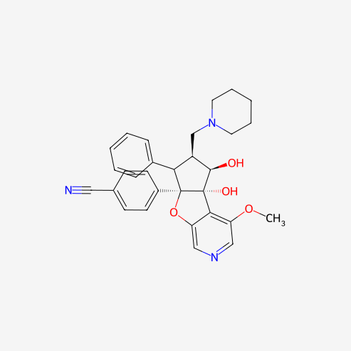 COc1cncc2c1[C@]1(O)[C@H](O)[C@H](CN3CCCCC3)C(c3ccccc3)[C@]1(c1ccc(C#N)cc1)O2